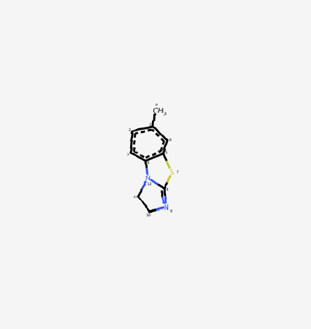 Cc1ccc2c(c1)SC1=NCCN12